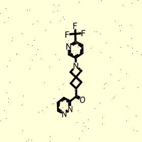 O=C(c1cccnn1)C1CC2(C1)CN(c1ccc(C(F)(F)F)nc1)C2